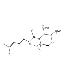 COC1CC[C@]2(CO2)C(C(C)SCCC=C(C)C)C1OC